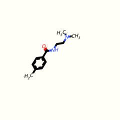 [CH2]c1ccc(C(=O)NCCN(C)C)cc1